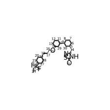 O=c1[nH]c(Cc2cccc(-c3cccc(OC/C=C/c4ccc(C(F)(F)F)cc4)c3)c2)ns1